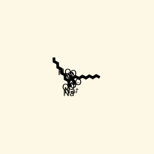 CCCCCCCCC(C(=O)[O-])C(CCCCCCCC)(C(=O)[O-])S(=O)(=O)O.[Na+].[Na+]